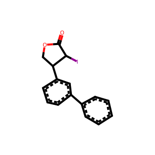 O=C1OCC(c2cccc(-c3ccccc3)c2)C1I